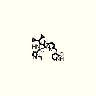 CCn1nccc1C(=O)N[C@H](c1cn2nc(C[C@@H]3CCCNC3=O)ccc2n1)C(C1CC1)C1CC1